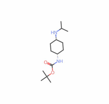 CC(C)N[C@H]1CC[C@H](NC(=O)OC(C)(C)C)CC1